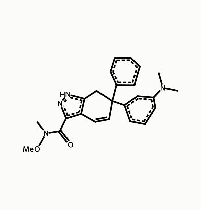 CON(C)C(=O)c1n[nH]c2c1C=CC(c1ccccc1)(c1cccc(N(C)C)c1)C2